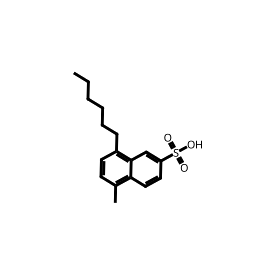 CCCCCCc1ccc(C)c2ccc(S(=O)(=O)O)cc12